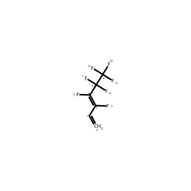 C=[C]C(F)=C(F)C(F)(F)C(F)(F)F